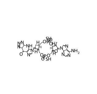 C[C@@H]1[C@@H]2O[P@](=O)(S)OC[C@H]3C[C@@H](n4cnc5c4NC4=NN=NC4C5=O)[C@@H]3CO[P@@](=O)(S)OC[C@H]2O[C@H]1n1cnc2c(N)ncnc21